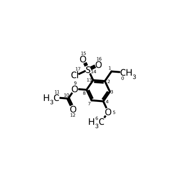 CCc1cc(OC)cc(OC(C)=O)c1S(=O)(=O)Cl